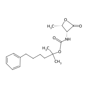 C[C@@H]1OC(=O)[C@@H]1NC(=O)OC(C)(C)CCCCc1ccccc1